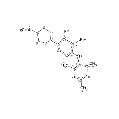 CCCCCC1CCC(c2ccc(Oc3c(C)cc(C)cc3C)c(F)c2F)CC1